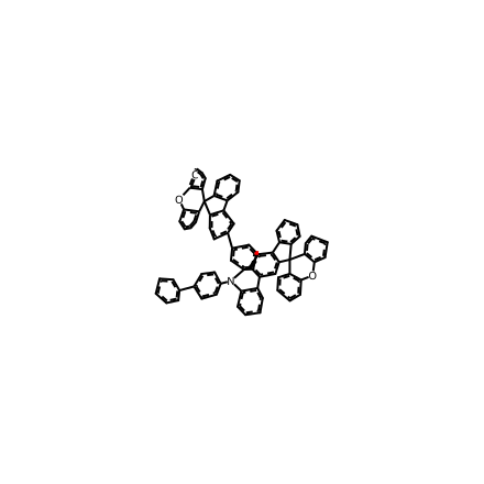 c1ccc(-c2ccc(N(c3cccc(-c4ccc5c(c4)-c4ccccc4C54c5ccccc5Oc5ccccc54)c3)c3ccccc3-c3ccc4c(c3)C3(c5ccccc5Oc5ccccc53)c3ccccc3-4)cc2)cc1